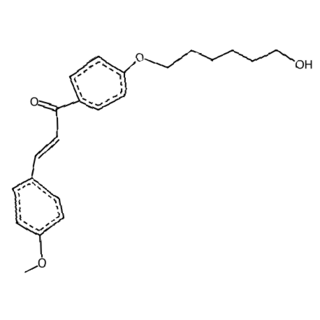 COc1ccc(C=CC(=O)c2ccc(OCCCCCCO)cc2)cc1